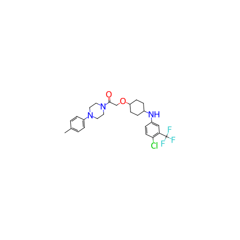 Cc1ccc(N2CCN(C(=O)COC3CCC(Nc4ccc(Cl)c(C(F)(F)F)c4)CC3)CC2)cc1